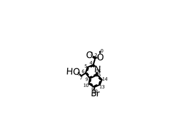 COC(=O)c1cc(CO)c2cc(Br)ccc2n1